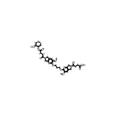 COc1cc2c(nc1OCCCOc1nc3c(cc1OC)CN(C(=O)CCC(=O)O[C@H]1CSSC[C@@H]1O)C3)CN(C(=O)CCC(=O)O)C2